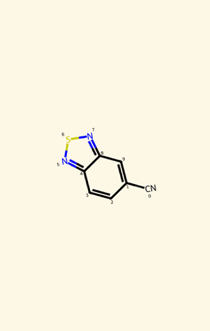 N#Cc1ccc2nsnc2c1